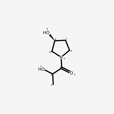 CC(O)C(=O)N1CC[C@H](O)C1